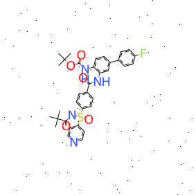 CC(C)(C)OC(=O)Nc1ccc(-c2ccc(F)cc2)cc1NC(=O)c1ccc(S(=O)(=NC(=O)C(C)(C)C)c2ccncc2)cc1